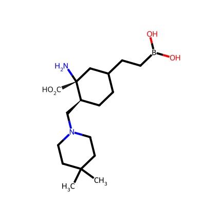 CC1(C)CCN(C[C@@H]2CCC(CCB(O)O)C[C@]2(N)C(=O)O)CC1